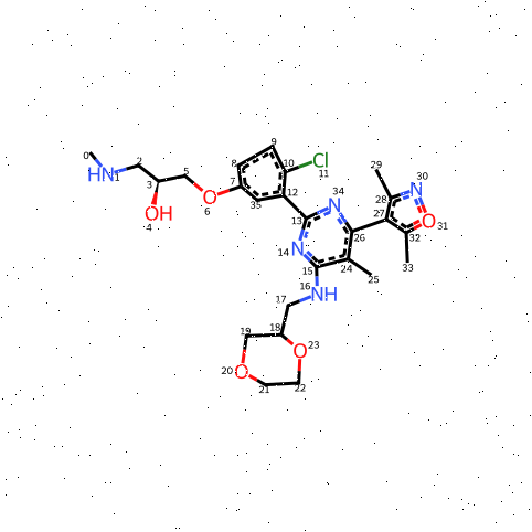 CNC[C@H](O)COc1ccc(Cl)c(-c2nc(NCC3COCCO3)c(C)c(-c3c(C)noc3C)n2)c1